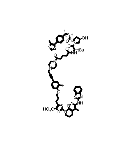 Cc1ncsc1-c1ccc([C@H](C)NC(=O)[C@@H]2C[C@@H](O)CN2C(=O)[C@@H](NC(=O)CCCC(=O)N2CCN(CC#Cc3ccc(OCCCc4sc(N5CCCc6c5nnc(Nc5nc7ccccc7s5)c6C)nc4C(=O)O)c(F)c3)CC2)C(C)(C)C)cc1